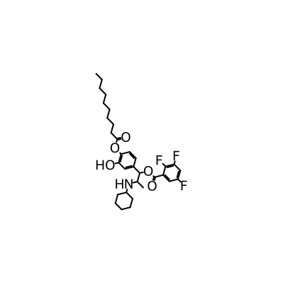 CCCCCCCCCC(=O)Oc1ccc(C(OC(=O)c2cc(F)cc(F)c2F)C(C)NC2CCCCC2)cc1O